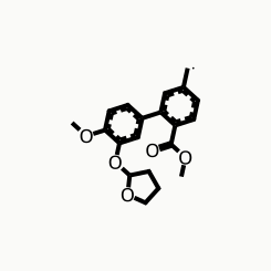 [CH2]c1ccc(C(=O)OC)c(-c2ccc(OC)c(OC3CCCO3)c2)c1